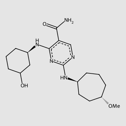 CO[C@H]1CCC[C@H](Nc2ncc(C(N)=O)c(N[C@@H]3CCCC(O)C3)n2)CC1